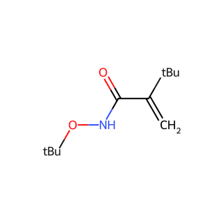 C=C(C(=O)NOC(C)(C)C)C(C)(C)C